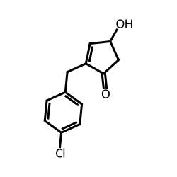 O=C1CC(O)C=C1Cc1ccc(Cl)cc1